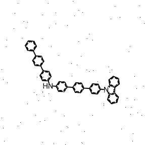 c1ccc(-c2ccc(-c3ccc(Nc4ccc(-c5ccc(-c6ccc(-n7c8ccccc8c8ccccc87)cc6)cc5)cc4)cc3)cc2)cc1